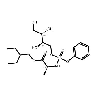 CCC(CC)COC(=O)[C@H](C)NP(=O)(OC[C@@H](O)[C@@H](O)CO)Oc1ccccc1